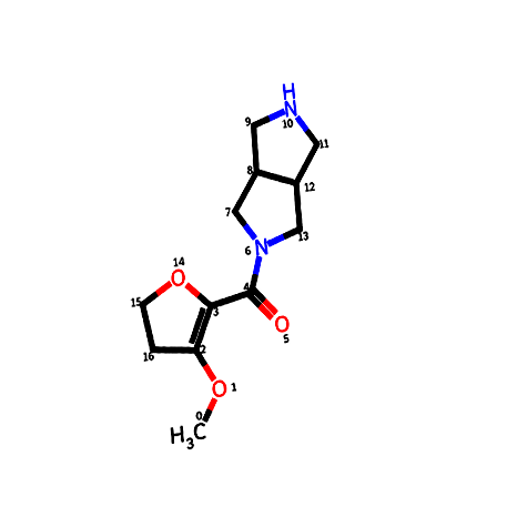 COC1=C(C(=O)N2CC3CNCC3C2)OCC1